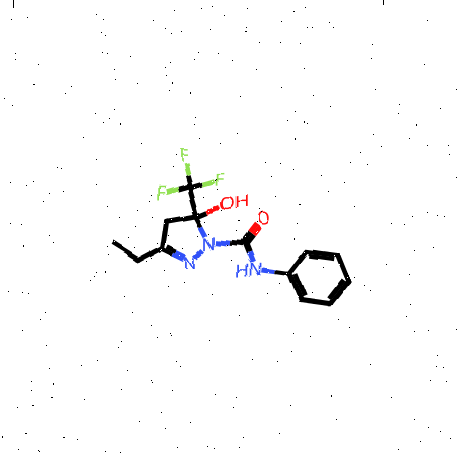 CCC1=NN(C(=O)Nc2ccccc2)C(O)(C(F)(F)F)C1